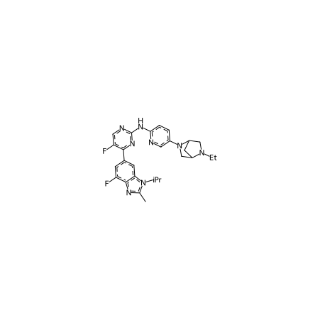 CCN1CC2CC1CN2c1ccc(Nc2ncc(F)c(-c3cc(F)c4nc(C)n(C(C)C)c4c3)n2)nc1